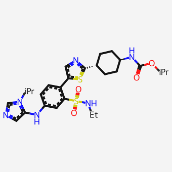 CCNS(=O)(=O)c1cc(Nc2cncn2C(C)C)ccc1-c1cnc([C@H]2CC[C@H](NC(=O)OC(C)C)CC2)s1